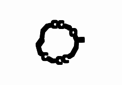 C=C1CCCCCCC/C=C/CCCCCO1